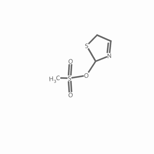 CS(=O)(=O)OC1N=CCS1